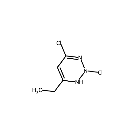 CCC1=CC(Cl)=NN(Cl)N1